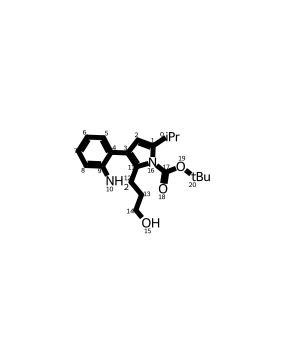 CC(C)c1cc(-c2ccccc2N)c(CCCO)n1C(=O)OC(C)(C)C